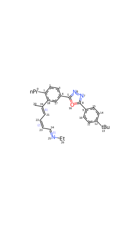 CCCc1ccc(-c2nnc(-c3ccc(C(C)(C)C)cc3)o2)cc1/C(C)=C/C=C\C=N\CC